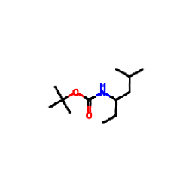 CCC(CC(C)C)NC(=O)OC(C)(C)C